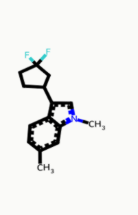 Cc1ccc2c(C3CCC(F)(F)C3)cn(C)c2c1